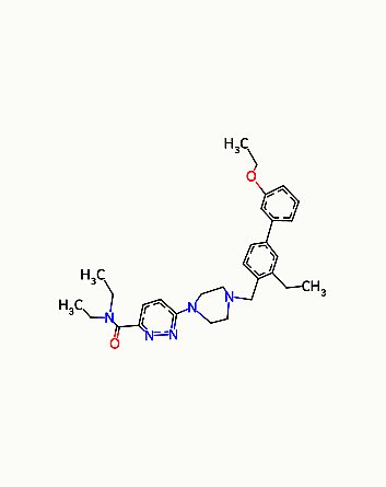 CCOc1cccc(-c2ccc(CN3CCN(c4ccc(C(=O)N(CC)CC)nn4)CC3)c(CC)c2)c1